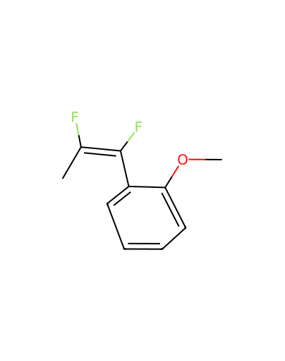 COc1ccccc1/C(F)=C(\C)F